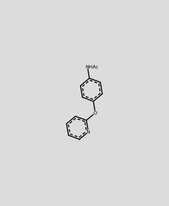 CC(=O)Nc1ccc(Oc2ccc[c]n2)cc1